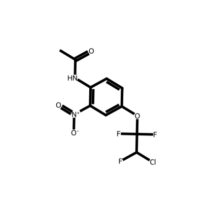 CC(=O)Nc1ccc(OC(F)(F)C(F)Cl)cc1[N+](=O)[O-]